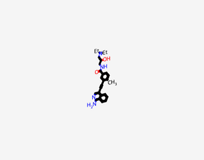 CCN(CC)CC(O)CNC(=O)c1ccc(C)c(C#Cc2cnc(N)c3ccccc23)c1